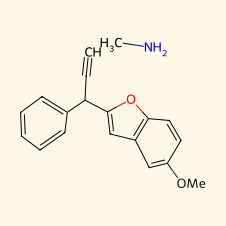 C#CC(c1ccccc1)c1cc2cc(OC)ccc2o1.CN